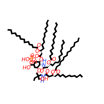 CCCCCCCCCCCCCC(=O)O[C@H](CCCCCCCCCCC)CC(=O)NCC(CC)(CO)COC1CC(CO)[C@@H](OP(=O)(O)O)[C@H](OC(=O)C[C@@H](CCCCCCCCCCC)OC(=O)CCCCCCCCCCCCC)[C@@H]1NC(=O)C[C@@H](CCCCCCCCCCC)OC(=O)CCCCCCCCCCCCC